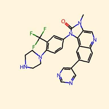 Cn1c(=O)n(-c2ccc(N3CCNCC3)c(C(F)(F)F)c2)c2c3cc(-c4cncnc4)ccc3ncc21